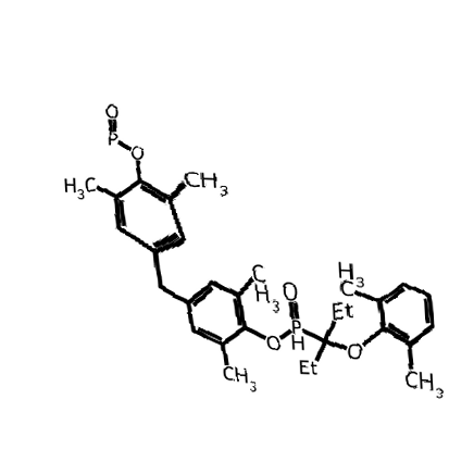 CCC(CC)(Oc1c(C)cccc1C)[PH](=O)Oc1c(C)cc(Cc2cc(C)c(OP=O)c(C)c2)cc1C